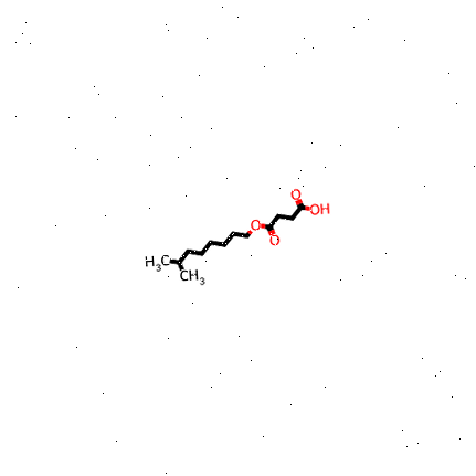 CC(C)CCCCCCOC(=O)CCC(=O)O